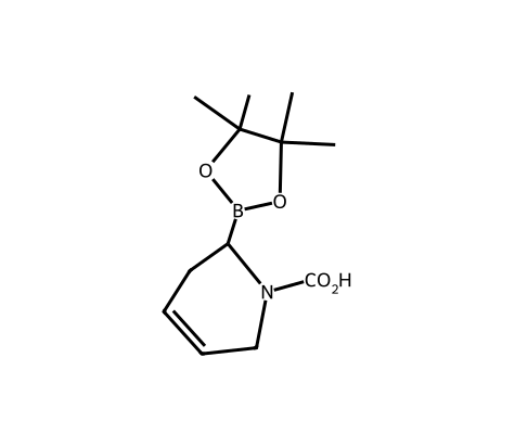 CC1(C)OB(C2CC=CCN2C(=O)O)OC1(C)C